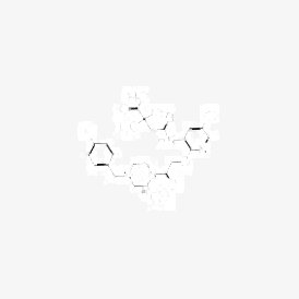 C[C@@H]1CN(Cc2ccc(F)cc2)CCN1C(=O)COc1ncc(Cl)cc1NC(=O)CC(C)(C)C(=O)O